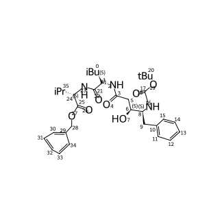 CC[C@H](C)[C@H](NC(=O)C[C@H](O)[C@H](Cc1ccccc1)NC(=O)OC(C)(C)C)C(=O)N[C@H](C(=O)OCc1ccccc1)C(C)C